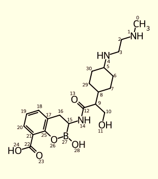 CNCCNC1CCC(C(CO)C(=O)NC2Cc3cccc(C(=O)O)c3OB2O)CC1